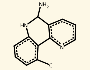 NC1Nc2cccc(Cl)c2-c2ncccc21